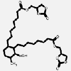 CCCCCCCCC1C(C)CCC(CCCCCCCC(=O)OCC2COC(=O)O2)C1CCCCCCCC(=O)OCC1COC(=O)O1